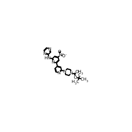 CC(C)(C)OC(=O)N1CCN(c2cc(-c3cc([N+](=O)[O-])cc(Nc4cnccn4)n3)ccn2)CC1